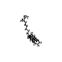 CC(C)N(C)CCCCCCc1cnc(N2C3CCC2CN(C(C)C)C3)nc1